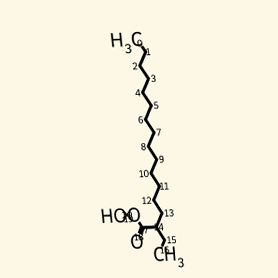 CCCCCCCCCCCCCCC(CC)C(=O)OO